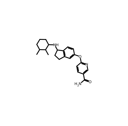 CC1CCCC(NC2CCc3cc(Oc4ccc(C(N)=O)cn4)ccc32)C1C